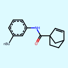 CCCCc1cccc(NC(=O)C23C=CC(CC2)C3)c1